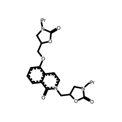 CC(C)N1CC(COc2cccc3c(=O)n(CC4CN(C(C)C)C(=O)O4)ccc23)OC1=O